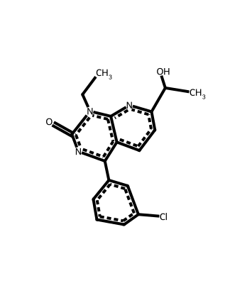 CCn1c(=O)nc(-c2cccc(Cl)c2)c2ccc(C(C)O)nc21